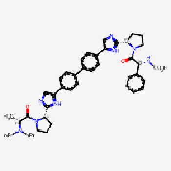 CCCN(CCC)[C@H](C)C(=O)N1CCC[C@H]1c1ncc(-c2ccc(-c3ccc(-c4cnc([C@@H]5CCCN5C(=O)[C@H](NC(=O)O)c5ccccc5)[nH]4)cc3)cc2)[nH]1